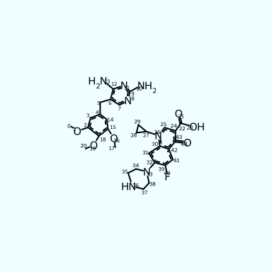 COc1cc(Cc2cnc(N)nc2N)cc(OC)c1OC.O=C(O)c1cn(C2CC2)c2cc(N3CCNCC3)c(F)cc2c1=O